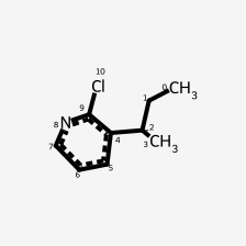 CC[C](C)c1cccnc1Cl